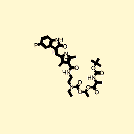 CCN(CCNC(=O)c1c(C)[nH]c(/C=C2\C(=O)Nc3ccc(F)cc32)c1C)C(=O)OC(C)OC(=O)C(C)NC(=O)OC(C)(C)C